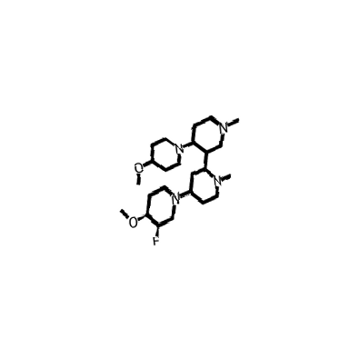 COC1CCN(C2CCN(C)CC2C2CC(N3CC[C@H](OC)[C@H](F)C3)CCN2C)CC1